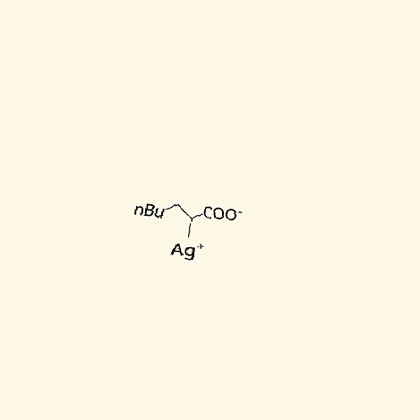 CCCCCC(C)C(=O)[O-].[Ag+]